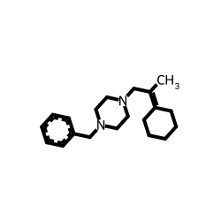 CC(CN1CCN(Cc2ccccc2)CC1)=C1CCCCC1